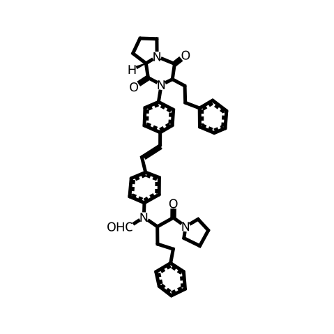 O=CN(c1ccc(/C=C/c2ccc(N3C(=O)[C@@H]4CCCN4C(=O)C3CCc3ccccc3)cc2)cc1)C(CCc1ccccc1)C(=O)N1CCCC1